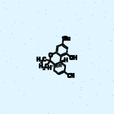 CC(C)(C)c1cc(O)c2c(c1)OC(C)(C)[C@@H]1CC=C(C#N)C[C@@H]21